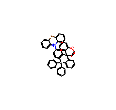 c1ccc([Si]2(c3ccccc3)c3ccccc3C3(c4ccccc4Oc4ccccc43)c3cc(N4c5ccccc5Sc5ccccc54)ccc32)cc1